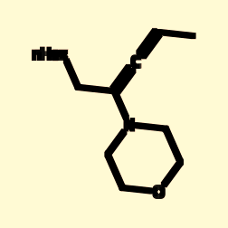 CC=C=C(CCCCCCC)N1CCOCC1